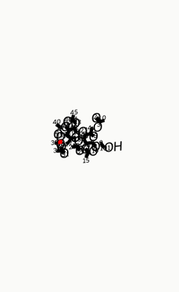 CC(=O)OCC1OC(OCCO)[C@H](OC(C)=O)C(OC(C)=O)[C@@H]1O[C@H]1OC(COC(C)=O)[C@@H](OC(C)=O)C(OC(C)=O)[C@H]1OC(C)=O